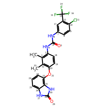 Cc1c(NC(=O)Nc2ccc(Cl)c(C(F)(F)F)c2)ccc(Oc2cccc3[nH]c(=O)[nH]c23)c1C